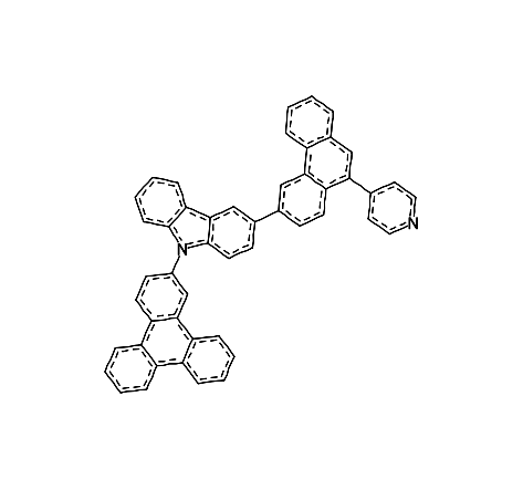 c1ccc2c(c1)cc(-c1ccncc1)c1ccc(-c3ccc4c(c3)c3ccccc3n4-c3ccc4c5ccccc5c5ccccc5c4c3)cc12